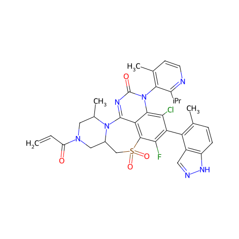 C=CC(=O)N1CC(C)N2c3nc(=O)n(-c4c(C)ccnc4C(C)C)c4c(Cl)c(-c5c(C)ccc6[nH]ncc56)c(F)c(c34)S(=O)(=O)CC2C1